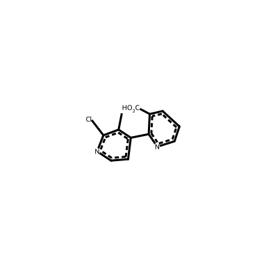 Cc1c(-c2ncccc2C(=O)O)ccnc1Cl